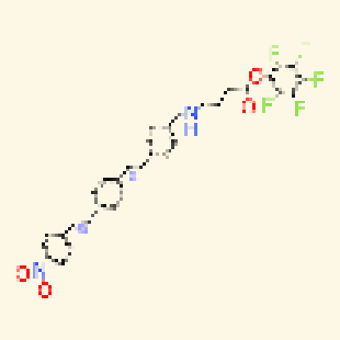 O=C(CCCNCc1ccc(/C=C/c2ccc(/C=C/c3ccc([N+](=O)[O-])cc3)cc2)cc1)Oc1c(F)c(F)c(F)c(F)c1F